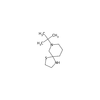 CC(C)(C)N1CCCC2(C1)NCCS2